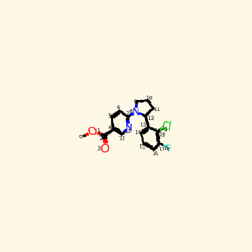 COC(=O)c1ccc(N2CCCC2c2cccc(F)c2Cl)nc1